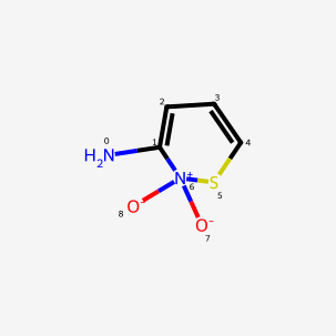 NC1=CC=CS[N+]1([O-])[O-]